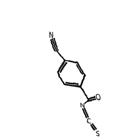 N#Cc1ccc(C(=O)N=C=S)cc1